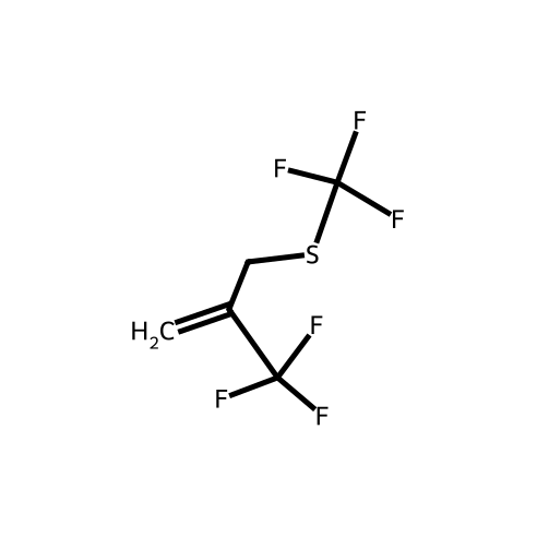 C=C(CSC(F)(F)F)C(F)(F)F